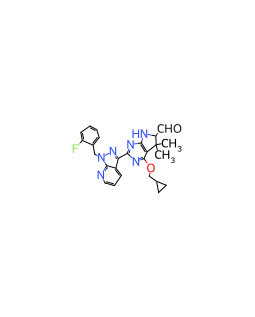 CC1(C)c2c(nc(-c3nn(Cc4ccccc4F)c4ncccc34)nc2OCC2CC2)NC1C=O